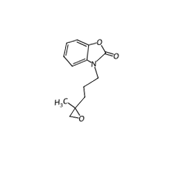 CC1(CCCn2c(=O)oc3ccccc32)CO1